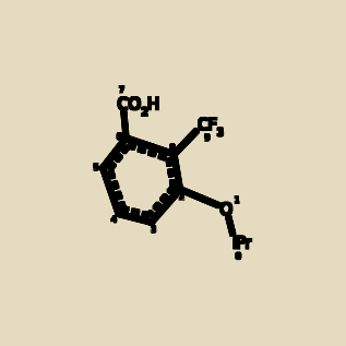 CC(C)Oc1cccc(C(=O)O)c1C(F)(F)F